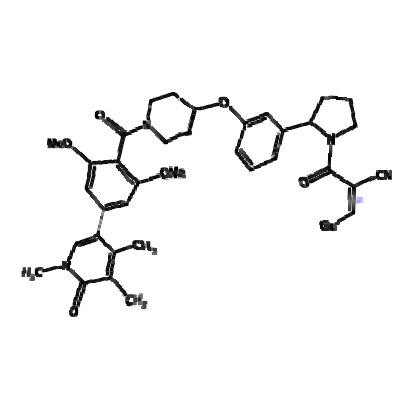 COc1cc(-c2cn(C)c(=O)c(C)c2C)cc(OC)c1C(=O)N1CCC(Oc2cccc(C3CCCN3C(=O)/C(C#N)=C\C(C)(C)C)c2)CC1